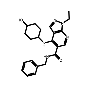 CCn1ncc2c(NC3CCC(O)CC3)c(C(=O)NCc3ccccc3)cnc21